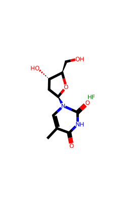 Cc1cn([C@H]2C[C@H](O)[C@@H](CO)O2)c(=O)[nH]c1=O.F